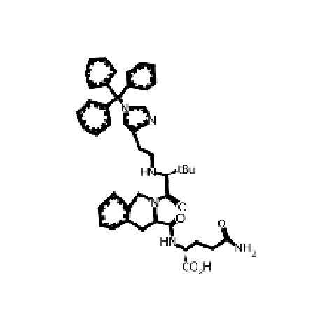 CC(C)(C)[C@H](NCCc1cn(C(c2ccccc2)(c2ccccc2)c2ccccc2)cn1)C(=O)N1Cc2ccccc2CC1C(=O)N[C@@H](CCC(N)=O)C(=O)O